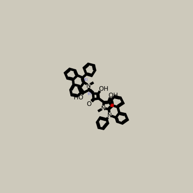 Cn1c(N(c2ccccc2)c2ccccc2-c2ccccc2)cc(O)c1C1=C(O)/C(=c2/c(O)c/c(=C(/c3ccccc3)c3ccccc3-c3ccccc3)n2C)C1=O